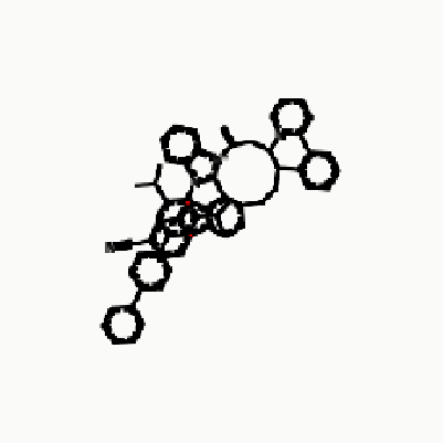 C=C1CC2C(CCc3ccc4c(oc5cc(C#N)ccc54)c3-c3n(-c4c(C(C)C)cc(-c5ccc(-c6ccccc6)cc5)cc4C(C)C)c4ccccc4[n+]31)c1ccccc1-c1cccc[n+]12